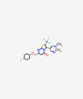 C=N/C=C(\C=N/C)c1c(C(F)(F)F)sc2nc(COc3ccc(F)cc3)cc(=O)n12